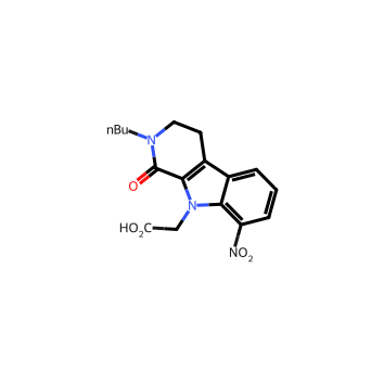 CCCCN1CCc2c(n(CC(=O)O)c3c([N+](=O)[O-])cccc23)C1=O